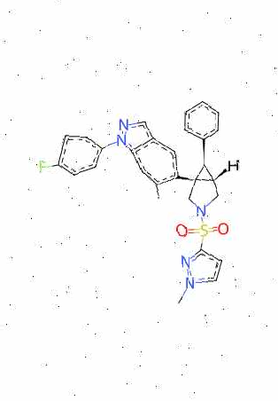 Cc1cc2c(cnn2-c2ccc(F)cc2)cc1[C@]12CN(S(=O)(=O)c3ccn(C)n3)C[C@H]1[C@@H]2c1ccccc1